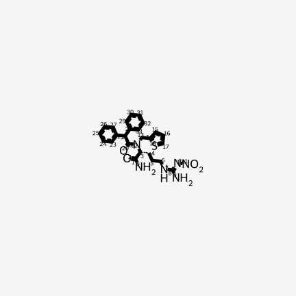 NC(=O)[C@@H](CCCNC(N)=N[N+](=O)[O-])N(Cc1cccs1)C(=O)C(c1ccccc1)c1ccccc1